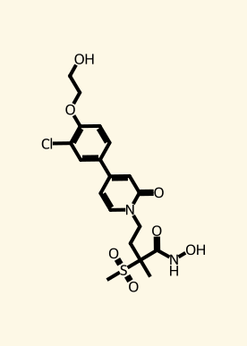 CC(CCn1ccc(-c2ccc(OCCO)c(Cl)c2)cc1=O)(C(=O)NO)S(C)(=O)=O